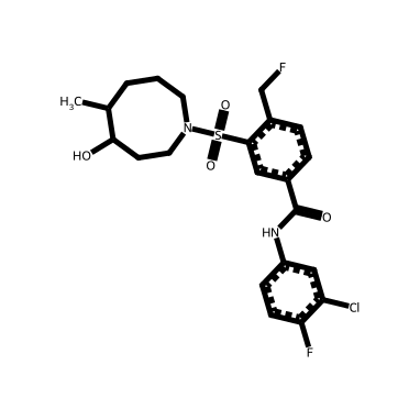 CC1CCCN(S(=O)(=O)c2cc(C(=O)Nc3ccc(F)c(Cl)c3)ccc2CF)CCC1O